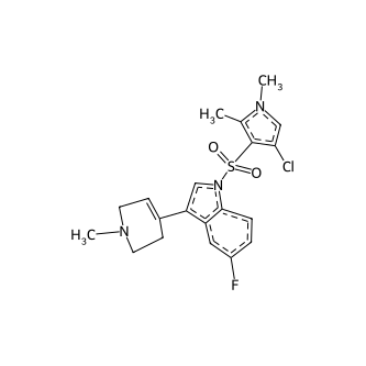 Cc1c(S(=O)(=O)n2cc(C3=CCN(C)CC3)c3cc(F)ccc32)c(Cl)cn1C